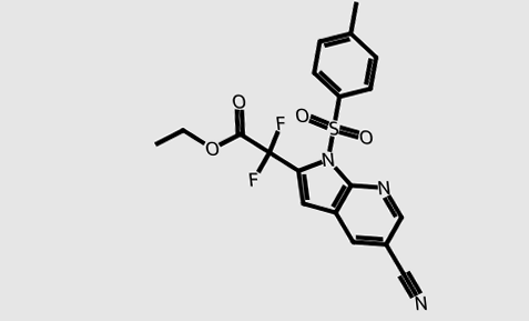 CCOC(=O)C(F)(F)c1cc2cc(C#N)cnc2n1S(=O)(=O)c1ccc(C)cc1